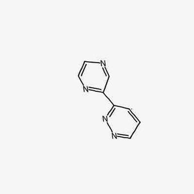 [c]1ccnnc1-c1cnccn1